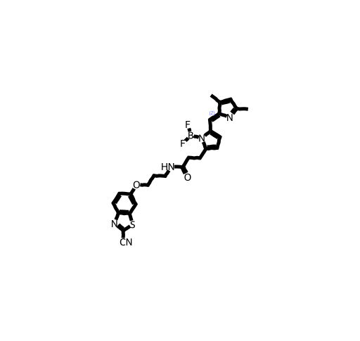 CC1=CC(C)=N/C1=C\c1ccc(CCC(=O)NCCCOc2ccc3nc(C#N)sc3c2)n1B(F)F